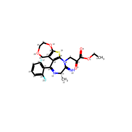 CCOC(=O)C(=O)CN1C(=N)[C@H](C)N=C(c2c(F)cccc2F)c2c1sc1c2COCCO1